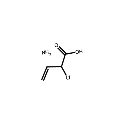 C=CC(Cl)C(=O)O.N